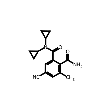 Cc1cc(C#N)cc(C(=O)N(C2CC2)C2CC2)c1C(N)=O